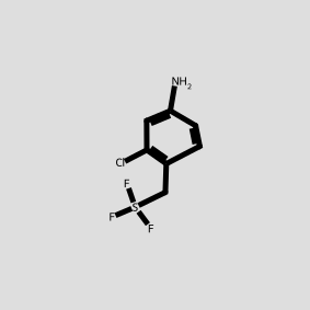 Nc1ccc(CS(F)(F)F)c(Cl)c1